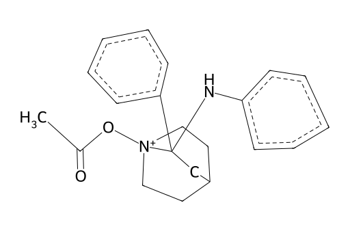 CC(=O)O[N+]12CCC(CC1)CC2(Nc1ccccc1)c1ccccc1